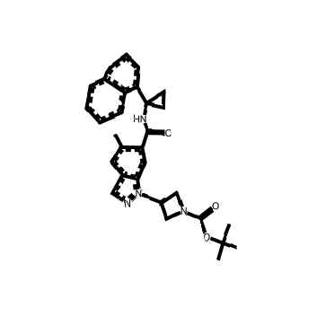 Cc1cc2cnn(C3CN(C(=O)OC(C)(C)C)C3)c2cc1C(=O)NC1(c2cccc3ccccc23)CC1